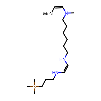 CN/C=C\N(C)CCCCCCN/C=C\NCCCS(C)(C)C